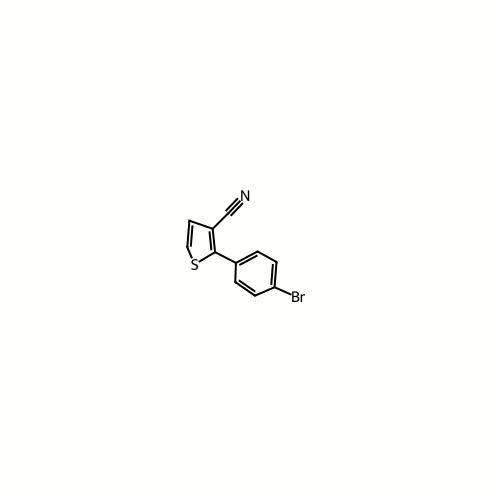 N#Cc1ccsc1-c1ccc(Br)cc1